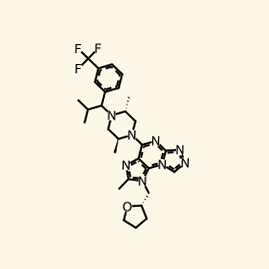 Cc1nc2c(N3C[C@@H](C)N(C(c4cccc(C(F)(F)F)c4)C(C)C)C[C@@H]3C)nc3nncn3c2n1C[C@@H]1CCCO1